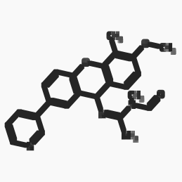 COc1ccc2c(c1C)Oc1ccc(-c3cccnc3)cc1C2/N=C(/N)N(C)C=O